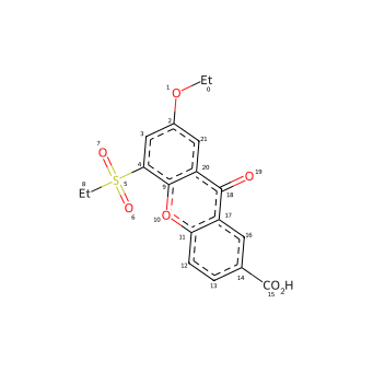 CCOc1cc(S(=O)(=O)CC)c2oc3ccc(C(=O)O)cc3c(=O)c2c1